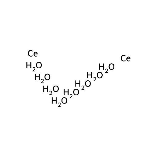 O.O.O.O.O.O.O.O.[Ce].[Ce]